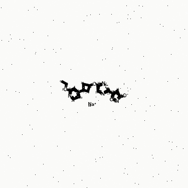 CCOc1cc(C2CC(Oc3cnc(-c4cc([O-])no4)cn3)C2)ccn1.[Na+]